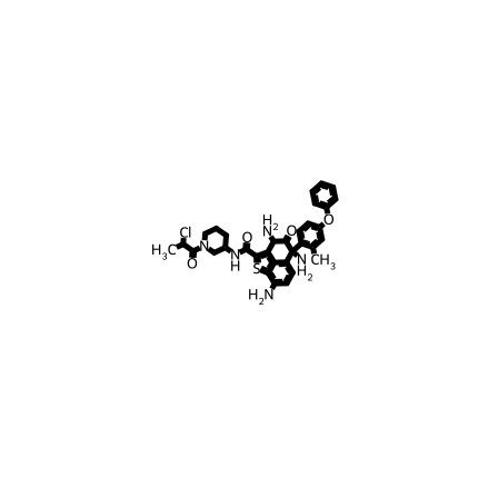 Cc1cc(Oc2ccccc2)ccc1C1(N)C(=O)C(N)c2c(C(=O)NC3CCCN(C(=O)C(C)Cl)C3)sc3c(N)ccc1c23